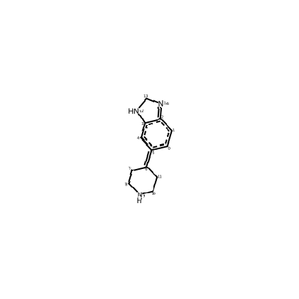 c1cc2c(cc1=C1CCNCC1)NCN=2